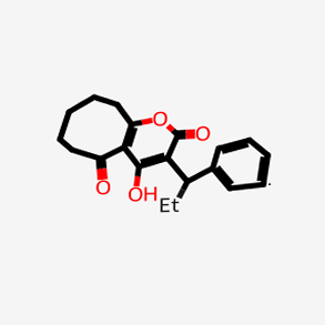 CCC(c1c[c]ccc1)c1c(O)c2c(oc1=O)CCCCCC2=O